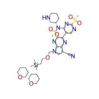 C1CCOCC1.C1CCOCC1.C[Si](C)(C)CCOCn1cc(C#N)c2nc(-c3cnc(S(C)(=O)=O)nc3N([C@H]3CCCNC3)S(C)(=O)=O)cnc21